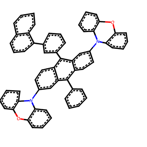 c1ccc(-c2c3ccc(N4c5ccccc5Oc5ccccc54)cc3c(-c3cccc(-c4cccc5ccccc45)c3)c3ccc(N4c5ccccc5Oc5ccccc54)cc23)cc1